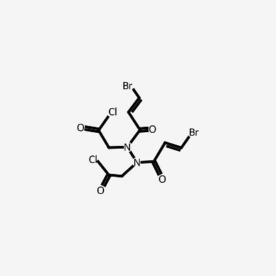 O=C(Cl)CN(C(=O)/C=C/Br)N(CC(=O)Cl)C(=O)/C=C/Br